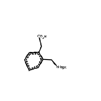 CCCCCCCCc1ccccc1CC(=O)O